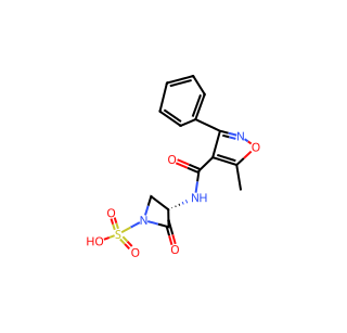 Cc1onc(-c2ccccc2)c1C(=O)N[C@H]1CN(S(=O)(=O)O)C1=O